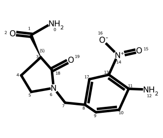 NC(=O)[C@@H]1CCN(Cc2ccc(N)c([N+](=O)[O-])c2)C1=O